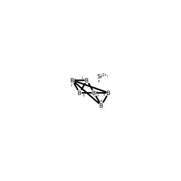 B12B3[B-]14B1B4[B-]231.[Si+2]